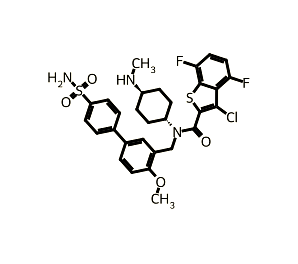 CN[C@H]1CC[C@H](N(Cc2cc(-c3ccc(S(N)(=O)=O)cc3)ccc2OC)C(=O)c2sc3c(F)ccc(F)c3c2Cl)CC1